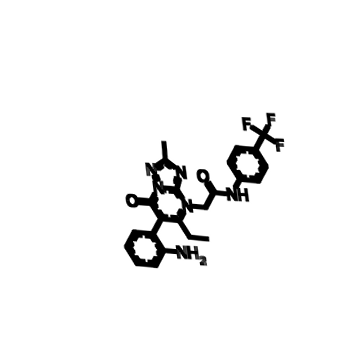 CCc1c(-c2ccccc2N)c(=O)n2nc(C)nc2n1CC(=O)Nc1ccc(C(F)(F)F)cc1